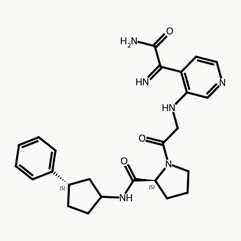 N=C(C(N)=O)c1ccncc1NCC(=O)N1CCC[C@H]1C(=O)NC1CC[C@H](c2ccccc2)C1